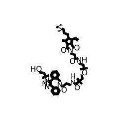 C=CC1C(CCCS(C)(C)C)C(C)C2C(=O)N(CCC(=O)NCCC(C)(C)OCCC(C)(C)C(=O)NCCC(=O)N3Cc4ccccc4-c4c(nnn4C(C)(C)CCO)-c4ccccc43)C(=O)C12